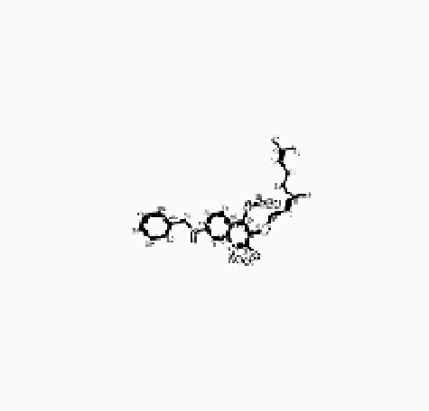 CCCCCCCCn1c(=O)c(OCC=C(C)CCC=C(C)C)c(OCCCC)c2ccc(NCc3ccccc3)cc21